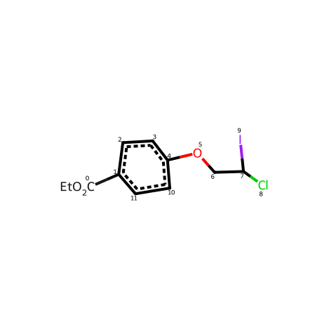 CCOC(=O)c1ccc(OCC(Cl)I)cc1